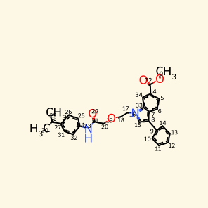 COC(=O)c1ccc2c(-c3ccccc3)cn(CCOCC(=O)Nc3ccc(C(C)C)cc3)c2c1